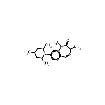 CC1CC(C)N(c2ccc3c(c2)N(C)C(=O)C(N)N=C3)C(C)C1